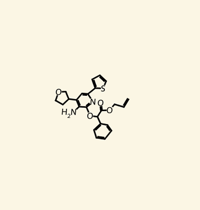 C=CCOC(=O)C(Oc1nc(-c2cccs2)cc(C2CCOC2)c1N)c1ccccc1